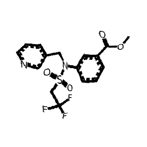 COC(=O)c1cccc(N(Cc2cccnc2)S(=O)(=O)CC(F)(F)F)c1